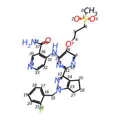 CS(=O)(=O)CCCOc1cnc(-c2nn(Cc3ccccc3F)c3c2CCC3)nc1Nc1ccncc1C(N)=O